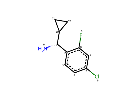 N[C@@H](c1ccc(Cl)cc1F)C1CC1